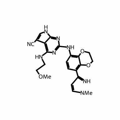 CN/C=C\C(=N)c1ccc(Nc2nc(NCCOC)c3c(C#N)c[nH]c3n2)c2c1OCCO2